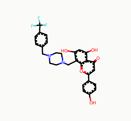 O=c1cc(-c2ccc(O)cc2)oc2c(CN3CCN(Cc4ccc(C(F)(F)F)cc4)CC3)c(O)cc(O)c12